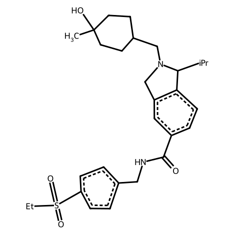 CCS(=O)(=O)c1ccc(CNC(=O)c2ccc3c(c2)CN(CC2CCC(C)(O)CC2)C3C(C)C)cc1